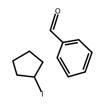 IC1CCCC1.O=Cc1ccccc1